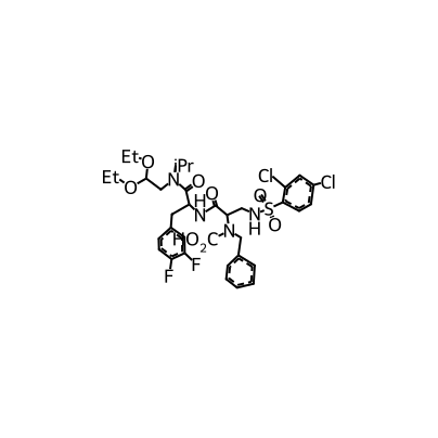 CCOC(CN(C(=O)C(Cc1ccc(F)c(F)c1)NC(=O)C(CNS(=O)(=O)c1ccc(Cl)cc1Cl)N(Cc1ccccc1)C(=O)O)C(C)C)OCC